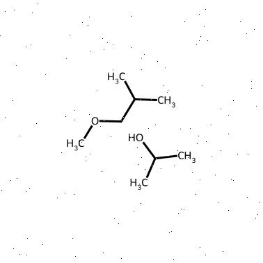 CC(C)O.COCC(C)C